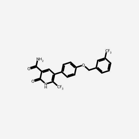 NC(=O)c1cc(-c2ccc(OCc3cccc(C(F)(F)F)c3)cc2)c(C(F)(F)F)[nH]c1=O